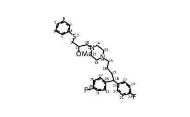 COC(CSc1ccccc1)CN1CCN(CCCC(c2ccc(F)cc2)c2ccc(F)cc2)CC1